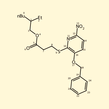 CCCCC(CC)COC(=O)CCSc1nc([N+](=O)[O-])ccc1OCc1ccccc1